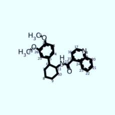 COc1ccc(C2CCCCC2NC(=O)c2ccnc3ccccc23)cc1OC